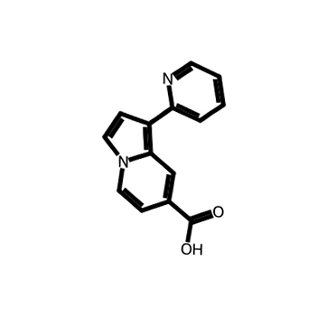 O=C(O)c1ccn2ccc(-c3ccccn3)c2c1